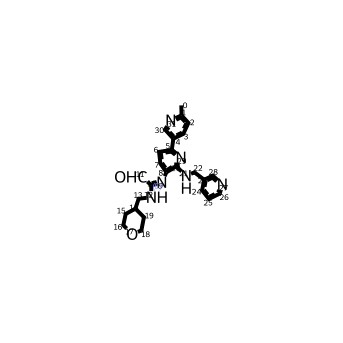 Cc1ccc(-c2ccc(/N=C(\C=O)NCC3CCOCC3)c(NCc3cccnc3)n2)cn1